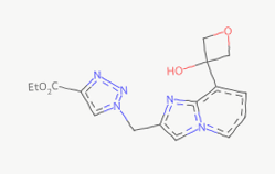 CCOC(=O)c1cn(Cc2cn3cccc(C4(O)COC4)c3n2)nn1